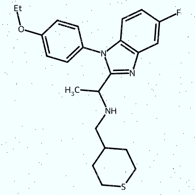 CCOc1ccc(-n2c(C(C)NCC3CCSCC3)nc3cc(F)ccc32)cc1